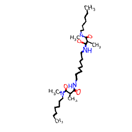 CCCCCCCN(C)C(=O)C(C)C(=O)NCCCCCCCCNC(=O)C(C)C(=O)N(C)CCCCCCC